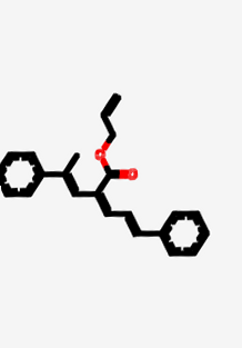 C=CCOC(=O)C(=CC=Cc1ccccc1)C=C(C)c1ccccc1